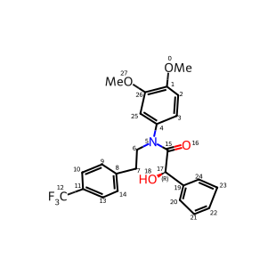 COc1ccc(N(CCc2ccc(C(F)(F)F)cc2)C(=O)[C@H](O)c2ccccc2)cc1OC